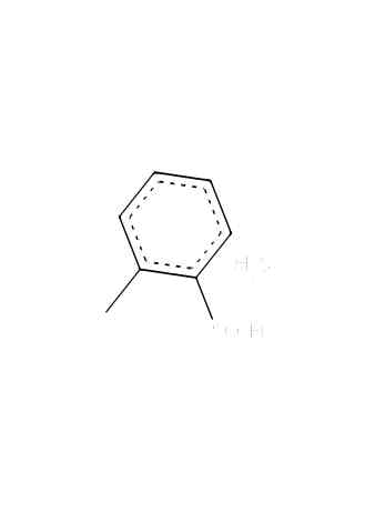 Cc1ccccc1S(=O)(=O)O.S